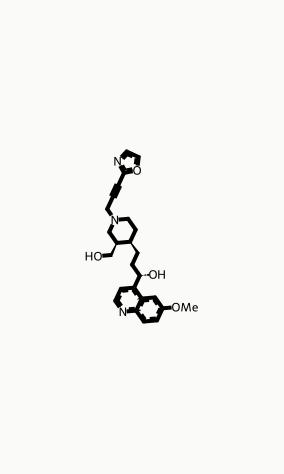 COc1ccc2nccc([C@@H](O)CC[C@@H]3CCN(CC#Cc4ncco4)C[C@@H]3CO)c2c1